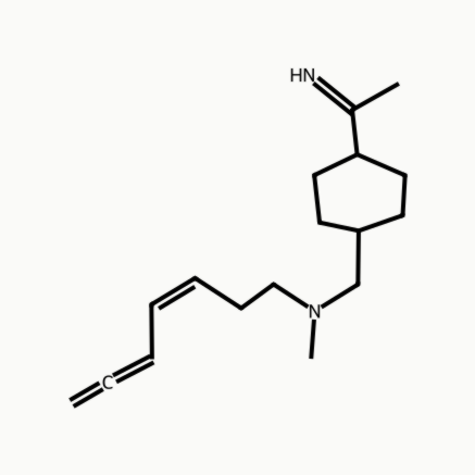 C=C=C/C=C\CCN(C)CC1CCC(C(C)=N)CC1